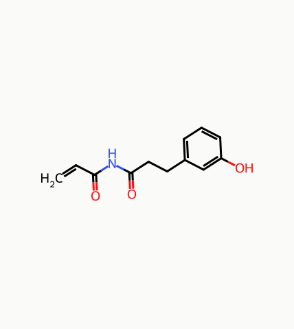 C=CC(=O)NC(=O)CCc1cccc(O)c1